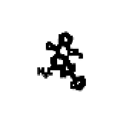 Cc1cc(C(=O)N2CCCC2C)cn2nc(-c3ccco3)nc12